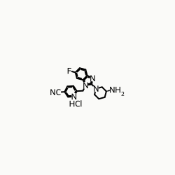 Cl.N#Cc1ccc(Cn2c(N3CCC[C@H](N)C3)nc3ccc(F)cc32)nc1